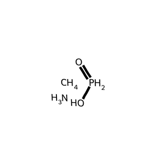 C.N.O=[PH2]O